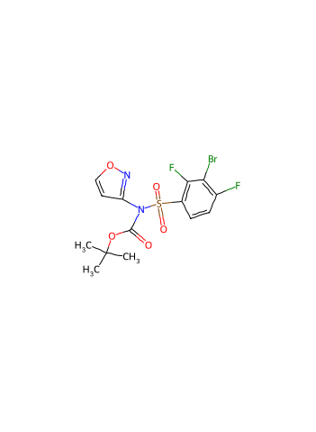 CC(C)(C)OC(=O)N(c1ccon1)S(=O)(=O)c1ccc(F)c(Br)c1F